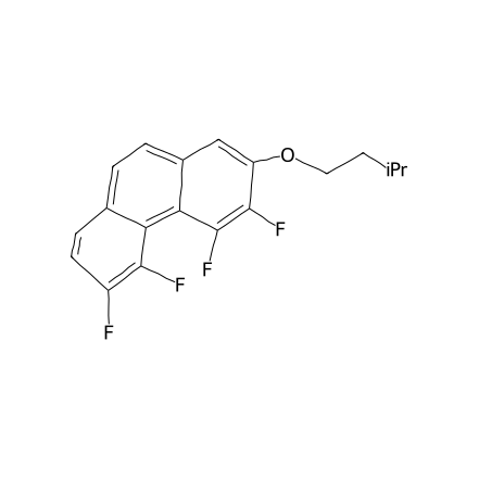 CC(C)CCOc1cc2ccc3ccc(F)c(F)c3c2c(F)c1F